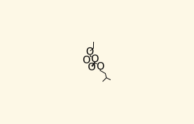 CCOC(=O)OC(=O)OCCC(C)C